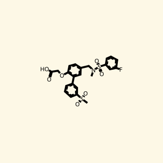 CN(Cc1ccc(OCC(=O)O)c(-c2cccc(S(C)(=O)=O)c2)c1)S(=O)(=O)c1cccc(F)c1